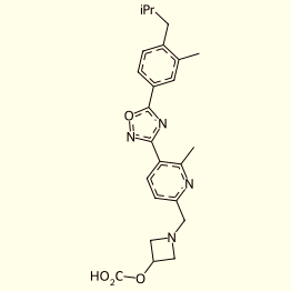 Cc1cc(-c2nc(-c3ccc(CN4CC(OC(=O)O)C4)nc3C)no2)ccc1CC(C)C